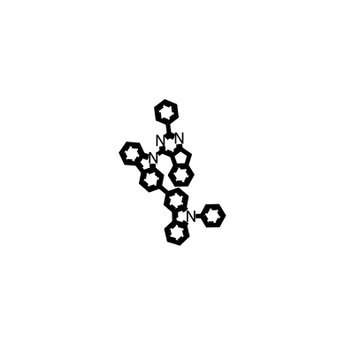 c1ccc(-c2nc3c(c(-n4c5ccccc5c5ccc(-c6ccc7c(c6)c6ccccc6n7-c6ccccc6)cc54)n2)-c2ccccc2C3)cc1